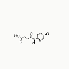 O=C(O)CCC(=O)Nc1ccc(Cl)cn1